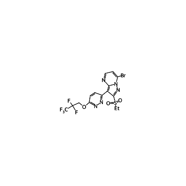 CCS(=O)(=O)c1nn2c(Br)ccnc2c1-c1ccc(OCC(F)(F)C(F)(F)F)nn1